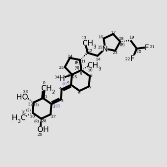 C=C1/C(=C\C=C2/CCC[C@]3(C)[C@@H](C(C)CN4CC[C@H](CC(F)F)C4)CC[C@@H]23)C[C@@H](O)[C@H](C)[C@@H]1O